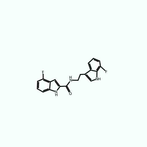 O=C(NCCc1c[nH]c2c(F)cccc12)c1cc2c(F)cccc2[nH]1